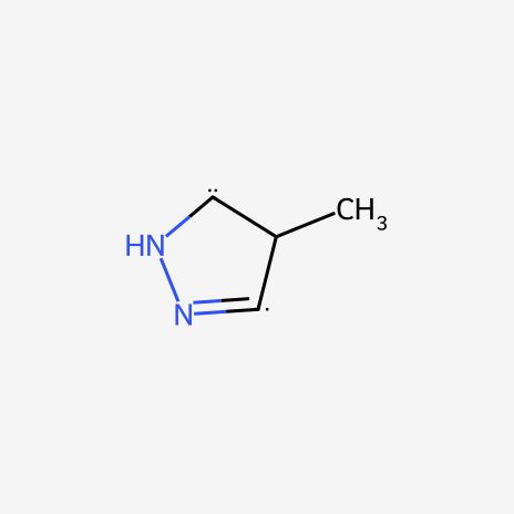 CC1[C]NN=[C]1